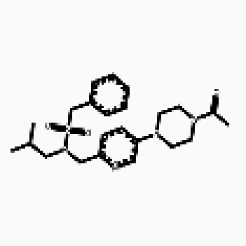 CC(=O)N1CCN(c2ccc(CN(CC(C)C)S(=O)(=O)Cc3ccccc3)nc2)CC1